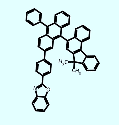 CC1(C)c2ccccc2-c2c1cc(-c1c3ccccc3c(-c3ccccc3)c3ccc(-c4ccc(-c5nc6ccccc6o5)cc4)cc13)c1ccccc21